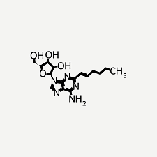 CCCCC=Cc1nc(N)c2ncn([C@@H]3O[C@H](CO)[C@@H](O)[C@H]3O)c2n1